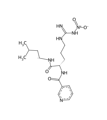 CC(C)C[CH]NC(=O)[C@H](CCCNC(=N)N[N+](=O)[O-])NC(=O)c1cccnc1